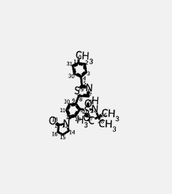 Cc1ccc(-c2ncc(-c3ccc(N4CCCC4=O)cc3S(=O)(=O)NC(C)(C)C)s2)cc1